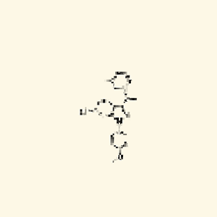 COc1ccc(-n2nc(C(C)N3C=CC=C(C)C3)c3ccc(Cl)cc32)cn1